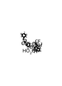 O=C(OCc1ccccc1)N1CCC(OC[C@H]2[C@@H](NC(=O)C(F)(F)F)[C@H]3CCC[C@H]3N2C(=O)O)CC1